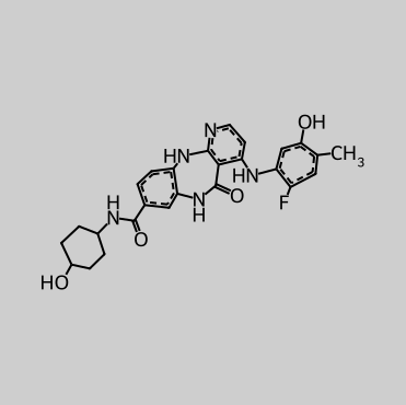 Cc1cc(F)c(Nc2ccnc3c2C(=O)Nc2cc(C(=O)NC4CCC(O)CC4)ccc2N3)cc1O